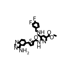 CCOC(=O)c1cnc(NCc2ccc(-c3ccc4ncnc(N)c4c3)s2)c(C(=O)NCc2ccc(F)c(F)c2)c1